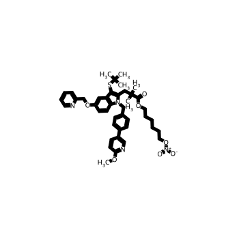 COc1ccc(-c2ccc(Cn3c(CC(C)(C)C(=O)OCCCCCCO[N+](=O)[O-])c(SC(C)(C)C)c4cc(OCc5ccccn5)ccc43)cc2)cn1